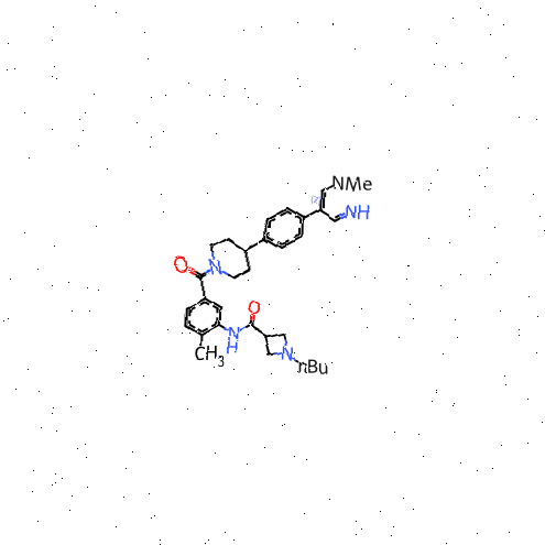 CCCCN1CC(C(=O)Nc2cc(C(=O)N3CCC(c4ccc(/C(C=N)=C/NC)cc4)CC3)ccc2C)C1